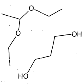 CCOC(C)OCC.OCCCO